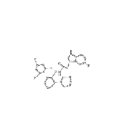 O=C(Cc1c[nH]c2ccc(F)cc12)N[C@@H](Cc1cc(F)cc(F)c1)c1ncccc1-c1cccnc1